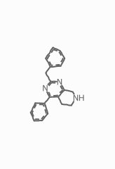 c1ccc(Cc2nc3c(c(-c4ccccc4)n2)CCNC3)cc1